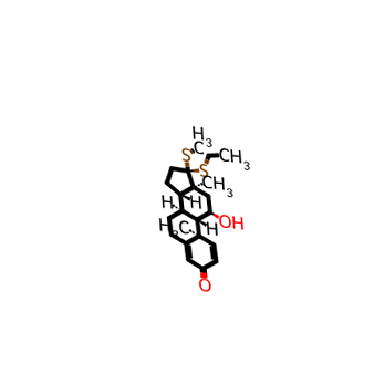 CCS[C@]1(SC)CC[C@H]2[C@@H]3CCC4=CC(=O)C=C[C@]4(C)[C@H]3[C@H](O)C[C@@]21C